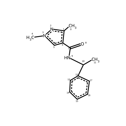 Cc1nn(C)cc1C(=O)NC(C)c1ccccc1